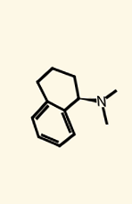 CN(C)[C@@H]1CCCc2ccccc21